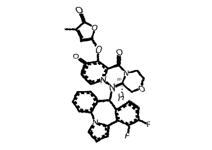 CC1=CC(Oc2c3n(ccc2=O)N(C2c4ccccc4-n4cccc4-c4c2ccc(F)c4F)[C@@H]2COCCN2C3=O)OC1=O